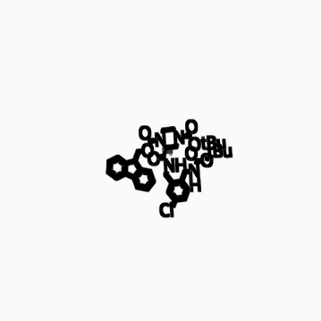 CC(C)(C)OC(=O)NCc1ccc(Cl)cc1CNC(=O)[C@@H]1CN(C(=O)OC(C)(C)C)CCN1C(=O)OCC1c2ccccc2-c2ccccc21